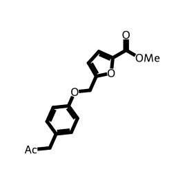 COC(=O)c1ccc(COc2ccc(CC(C)=O)cc2)o1